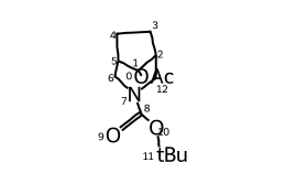 CC(=O)OC1C2CCC1CN(C(=O)OC(C)(C)C)C2